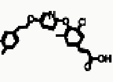 Cc1ccc(CCOc2ccc(Oc3c(C)cc(/C=C/C(=O)O)cc3Cl)nc2)cc1